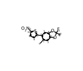 Cc1cc2c(cc1-c1ccc([N+](=O)[O-])s1)OC(F)(F)O2